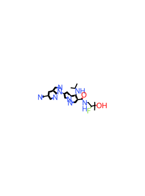 CC(C)Nc1c(C(=O)NCC(F)C(C)(C)O)cnn2cc(-n3ncc4cc(C#N)cnc43)cc12